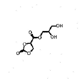 O=C1OCC(C(=O)OCC(O)CO)O1